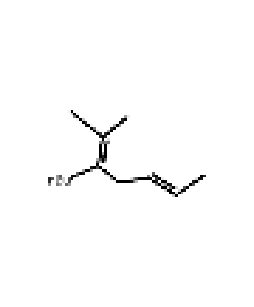 CC=CCC(CCCC)=C(C)C